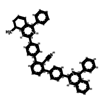 CC1CC=Cc2c(-c3ccccc3)nc(-c3ccc(-c4cccc(-c5ccc(-c6nc(-c7ccccc7)c7ccccc7n6)cc5)c4C#N)cc3)nc21